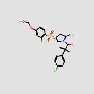 CC(C)(C(=O)N1C[C@H](S(=O)(=O)c2ccc(OCC(F)(F)F)cc2Cl)C[C@H]1C(=O)O)c1ccc(Cl)cc1